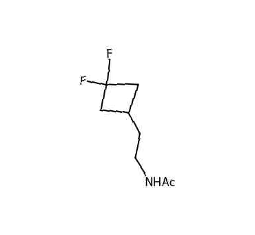 CC(=O)NCCC1CC(F)(F)C1